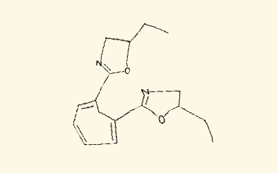 CCC1CN=C(c2ccccc2C2=NCC(CC)O2)O1